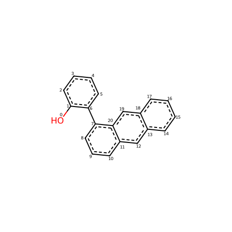 Oc1ccccc1-c1cccc2cc3ccccc3cc12